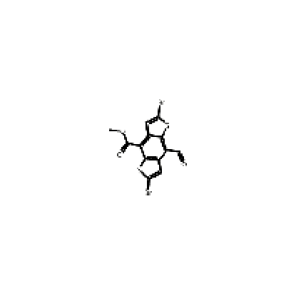 COC(=O)c1c2cc(Br)sc2c(C=O)c2cc(Br)sc12